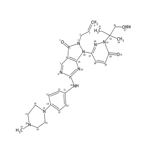 C=CCn1c(=O)c2cnc(Nc3ccc(N4CCN(C)CC4)cc3)nc2n1-c1ccc(=O)n(C(C)(C)COC)n1